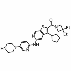 CCC1(CC)CN(C(=O)c2sc3cnc(Nc4ccc(N5CCNCC5)cn4)cc3c2C2CCCC2)C1